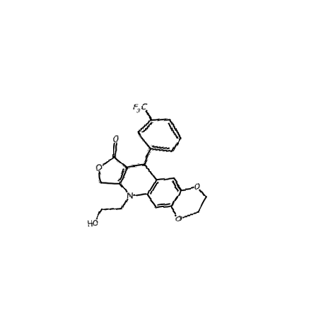 O=C1OCC2=C1C(c1cccc(C(F)(F)F)c1)c1cc3c(cc1N2CCO)OCCO3